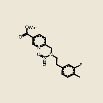 COC(=O)c1ccc(CN(CCc2ccc(C)c(F)c2)[SH](=O)=O)nc1